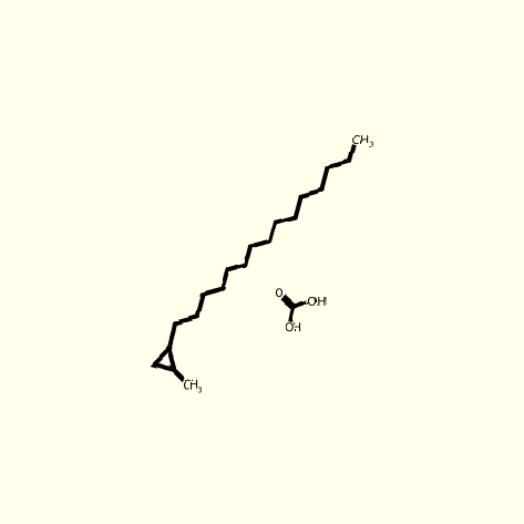 CCCCCCCCCCCCCCCC1CC1C.O=C(O)O